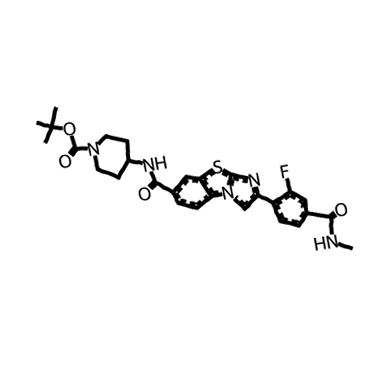 CNC(=O)c1ccc(-c2cn3c(n2)sc2cc(C(=O)NC4CCN(C(=O)OC(C)(C)C)CC4)ccc23)c(F)c1